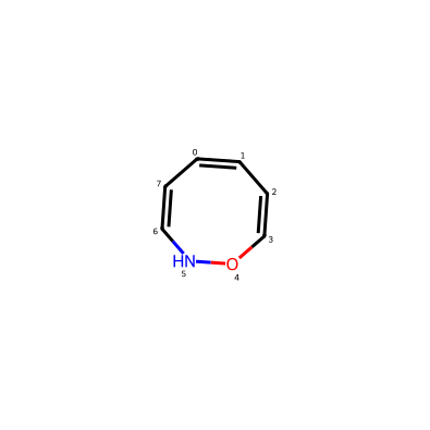 c1ccco[nH]cc1